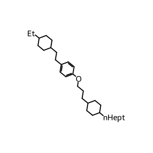 CCCCCCCC1CCC(CCCOc2ccc(CCC3CCC(CC)CC3)cc2)CC1